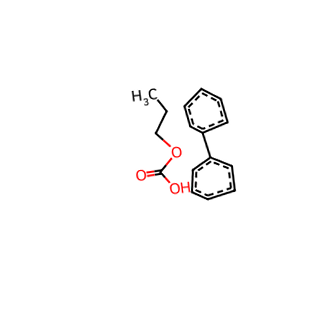 CCCOC(=O)O.c1ccc(-c2ccccc2)cc1